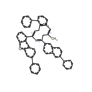 CCC/C=C(\N=C(/C/C(C)=C\c1cccc(-c2ccccc2)c1)c1ccc2cc(-c3ccccc3)ccc2c1)c1cccc2oc3cc(-c4ccccc4)ccc3c12